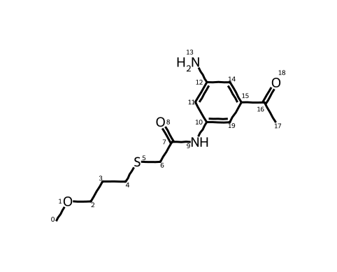 COCCCSCC(=O)Nc1cc(N)cc(C(C)=O)c1